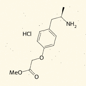 COC(=O)COc1ccc(C[C@@H](C)N)cc1.Cl